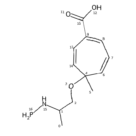 CC(COC1(C)C=CC=C(C(=O)O)C=C1)NP